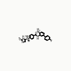 COc1ncc(S(=N)(=O)c2ccc(C(=O)Nc3cc(-c4ccc(F)cc4)ccc3N)cc2)[nH]1